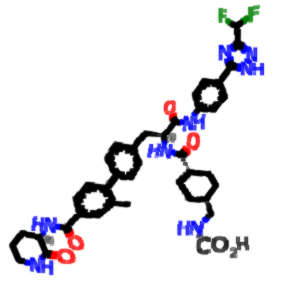 Cc1cc(C(=O)N[C@@H]2CCCNC2=O)ccc1-c1ccc(C[C@H](NC(=O)[C@H]2CC[C@H](CNC(=O)O)CC2)C(=O)Nc2ccc(-c3nc(C(F)F)n[nH]3)cc2)cc1